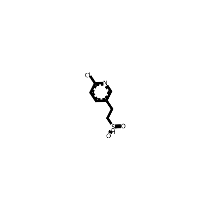 O=[SH](=O)CCc1ccc(Cl)nc1